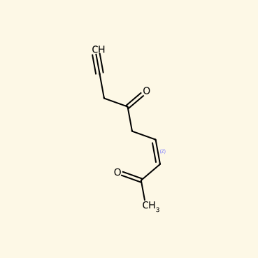 C#CCC(=O)C/C=C\C(C)=O